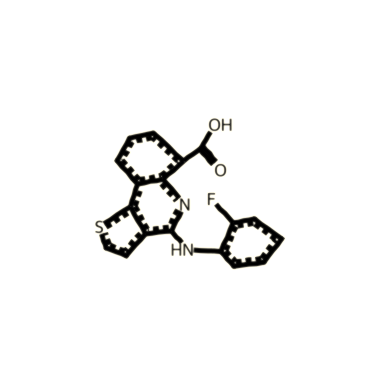 O=C(O)c1cccc2c1nc(Nc1ccccc1F)c1ccsc12